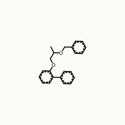 CC(COc1ccccc1-c1ccccc1)OCc1ccccc1